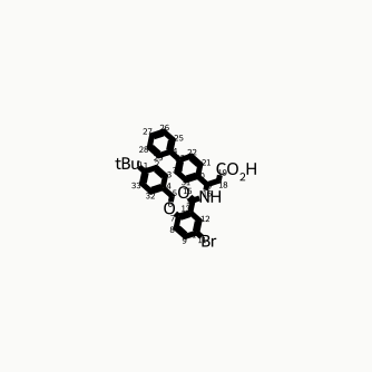 CC(C)(C)c1ccc(COc2ccc(Br)cc2C(=O)NC(CC(=O)O)c2ccc(-c3ccccc3)cc2)cc1